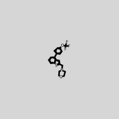 FC(F)(F)Oc1ccc(-c2cccc3sc(CN4CCOCC4)cc23)cc1